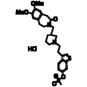 COc1cc2c(cc1OC)CC(=O)N(CC1CCCN(CCc3csc4cc(OS(C)(=O)=O)ccc34)C1)CC2.Cl